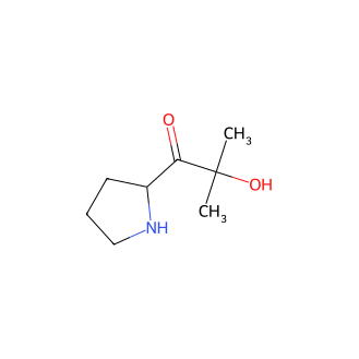 CC(C)(O)C(=O)C1CCCN1